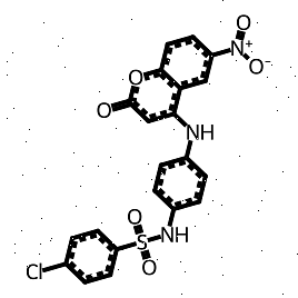 O=c1cc(Nc2ccc(NS(=O)(=O)c3ccc(Cl)cc3)cc2)c2cc([N+](=O)[O-])ccc2o1